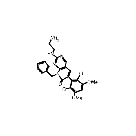 COc1cc(OC)c(Cl)c(-c2cc3cnc(NCCN)nc3n(Cc3ccccc3)c2=O)c1Cl